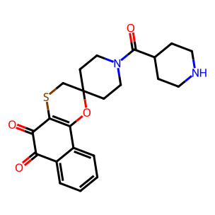 O=C1C(=O)c2ccccc2C2=C1SCC1(CCN(C(=O)C3CCNCC3)CC1)O2